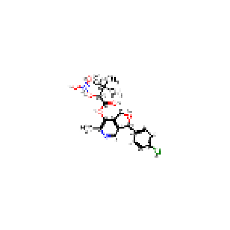 Cc1ncc2c(c1OC(=O)[C@@H](O[N+](=O)[O-])C(C)(C)C)COC2c1ccc(Cl)cc1